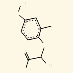 COC(=O)C(C)Oc1ccc(SC(Cl)(Cl)Cl)cc1Cl